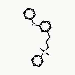 C[Si](C)(CCCc1cccc(Oc2ccccc2)c1)c1ccccc1